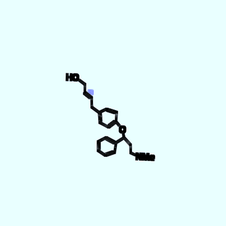 CNCCC(Oc1ccc(C/C=C/CO)cc1)c1ccccc1